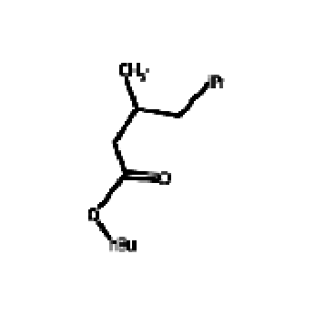 [CH2]C(CC(=O)OCCCC)CC(C)C